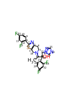 C[C@@H](N1CCc2nc(-c3ccc(F)cc3F)sc2C1)[C@](O)(Cn1cncn1)c1ccc(F)cc1F